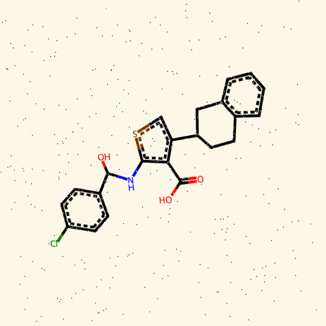 O=C(O)c1c(C2CCc3ccccc3C2)csc1NC(O)c1ccc(Cl)cc1